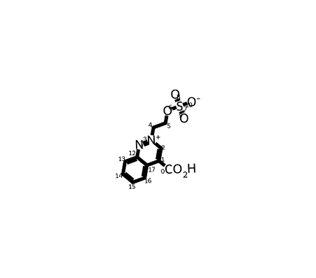 O=C(O)c1c[n+](CCOS(=O)(=O)[O-])nc2ccccc12